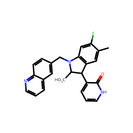 Cc1cc2c(cc1F)N(Cc1ccc3ncccc3c1)C(C(=O)O)C2c1ccc[nH]c1=O